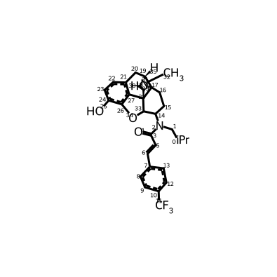 CC(C)CN(C(=O)/C=C/c1ccc(C(F)(F)F)cc1)C1CC[C@@]2(O)[C@H]3Cc4ccc(O)c5c4[C@@]2(CCN3C)C1O5